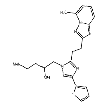 CNCCC(O)Cn1cc(-c2cccs2)nc1CCc1nc2cccc(C)n2n1